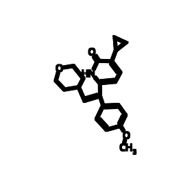 COc1ccc(/C(=C/C2CCOCC2)c2ccc(C3CC3)c(=O)[nH]2)cc1